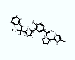 Cc1coc(C2CCCN2C(=O)c2ccc(F)c(-c3nnc(C(C)(N)Cc4ccccc4)o3)c2)n1